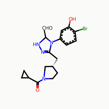 O=CC1NN=C(C[C@@H]2CCN(C(=O)C3CC3)C2)N1c1ccc(Br)c(O)c1